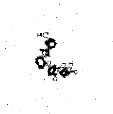 N#Cc1cccc(C2CN([C@@H]3CCCC[C@H]3Oc3ccc4c(c3)CN(C35CC(C3)C(=O)NC5=O)C4=O)C2)c1